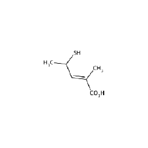 CC(=CC(C)S)C(=O)O